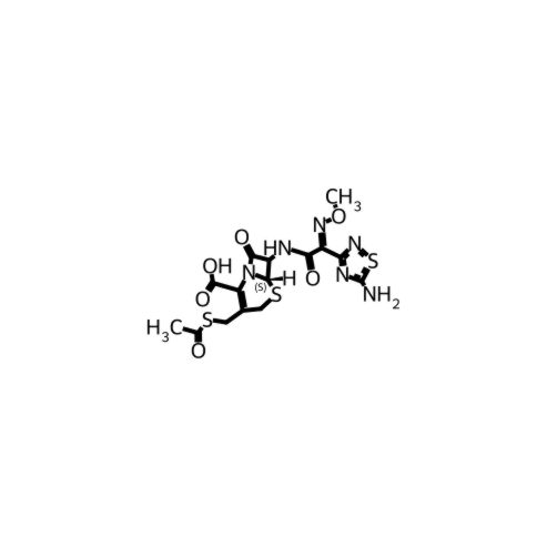 CON=C(C(=O)NC1C(=O)N2C(C(=O)O)=C(CSC(C)=O)CS[C@@H]12)c1nsc(N)n1